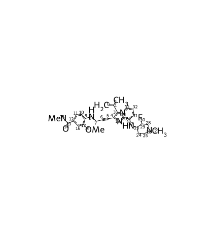 C=C(C)c1c(C#CCNc2ccc(C(=O)NC)cc2OC)nc2c(N[C@@H]3CCN(C)C[C@@H]3F)cccn12